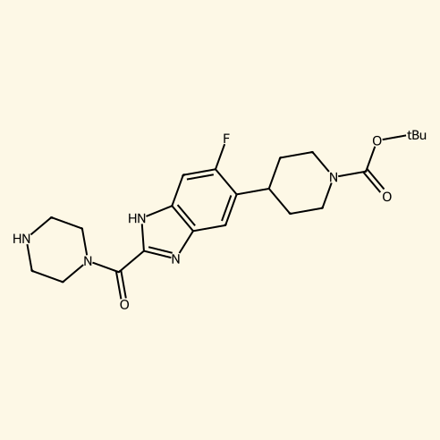 CC(C)(C)OC(=O)N1CCC(c2cc3nc(C(=O)N4CCNCC4)[nH]c3cc2F)CC1